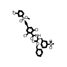 COc1cccc(P(=O)(C#Cc2cc(Cl)c(C(=O)N[C@@H](Cc3cccc(S(C)(=O)=O)c3)C(=O)OCc3ccccc3)c(Cl)c2)OC)c1